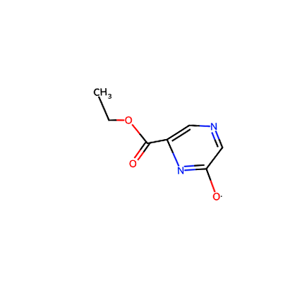 CCOC(=O)c1cncc([O])n1